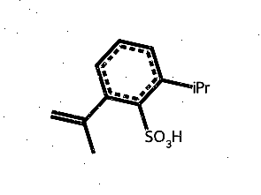 C=C(C)c1cccc(C(C)C)c1S(=O)(=O)O